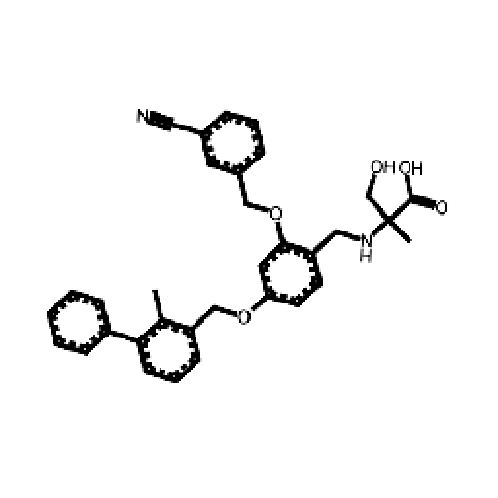 Cc1c(COc2ccc(CNC(C)(CO)C(=O)O)c(OCc3cccc(C#N)c3)c2)cccc1-c1ccccc1